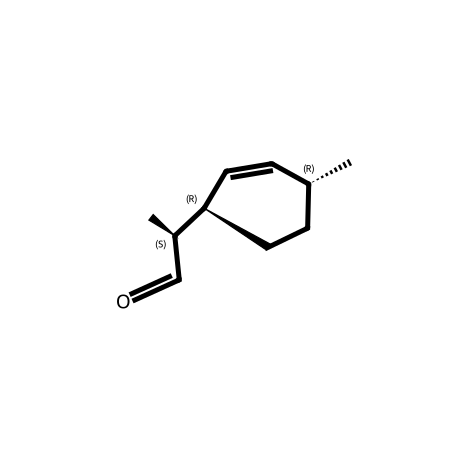 C[C@H](C=O)[C@H]1C=C[C@H](C)CC1